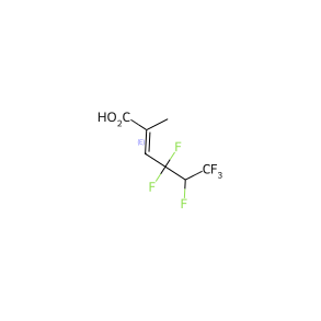 C/C(=C\C(F)(F)C(F)C(F)(F)F)C(=O)O